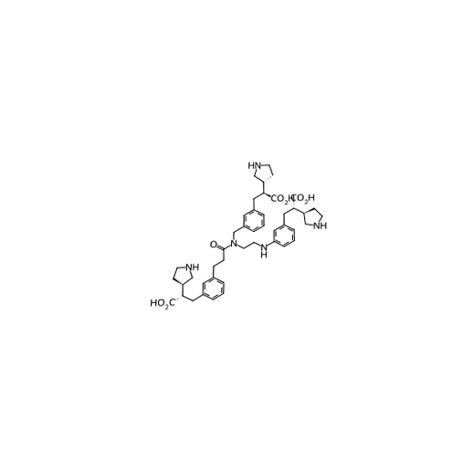 O=C(O)[C@@H](Cc1cccc(CCC(=O)N(CCNc2cccc(C[C@H](C(=O)O)[C@H]3CCNC3)c2)Cc2cccc(C[C@H](C(=O)O)[C@H]3CCNC3)c2)c1)[C@H]1CCNC1